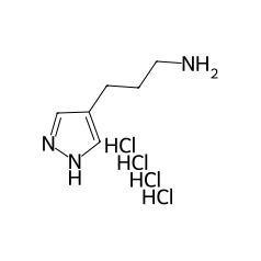 Cl.Cl.Cl.Cl.NCCCc1cn[nH]c1